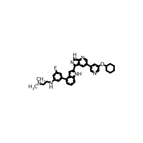 CN(C)CCNc1cc(F)cc(-c2cccc3[nH]c(-c4n[nH]c5ncc(-c6cncc(OC7CCCCC7)c6)cc45)cc23)c1